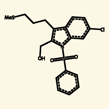 CSCCCc1c(CO)n(S(=O)(=O)c2ccccc2)c2cc(Cl)ccc12